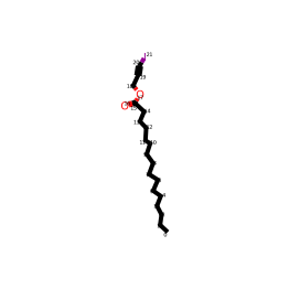 CCCCCCCCCCCCCCCC(=O)OCC#CI